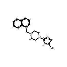 Nc1n[nH]c(N2CCN(Cc3cccc4ccccc34)CC2)n1